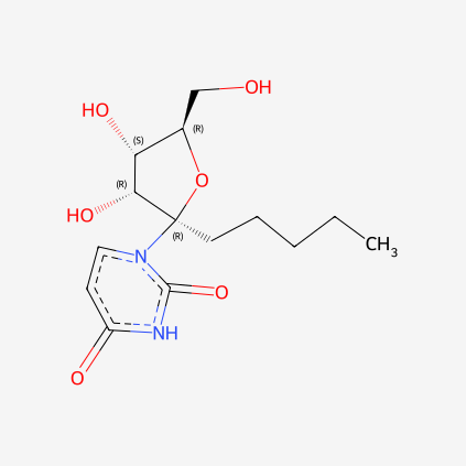 CCCCC[C@@]1(n2ccc(=O)[nH]c2=O)O[C@H](CO)[C@@H](O)[C@H]1O